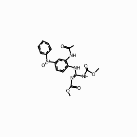 COC(=O)N=C(NC(=O)OC)Nc1ccc([S+]([O-])c2ccccc2)cc1NC(C)=O